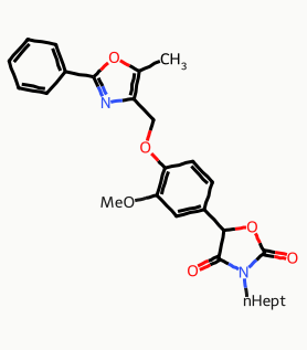 CCCCCCCN1C(=O)OC(c2ccc(OCc3nc(-c4ccccc4)oc3C)c(OC)c2)C1=O